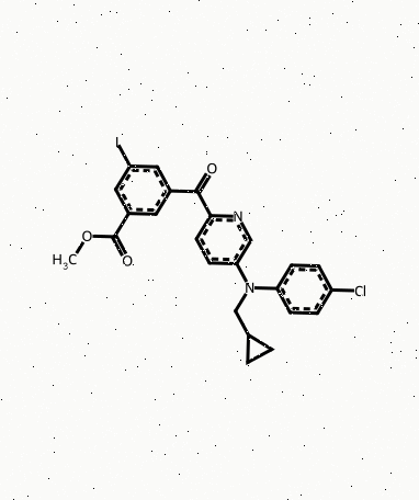 COC(=O)c1cc(I)cc(C(=O)c2ccc(N(CC3CC3)c3ccc(Cl)cc3)cn2)c1